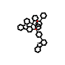 c1ccc(-c2ccc(N(c3ccc(-c4cccc5c4sc4ccccc45)cc3)c3ccc4c(oc5ccccc54)c3C3(c4ccccc4)c4ccccc4-c4ccccc43)cc2)cc1